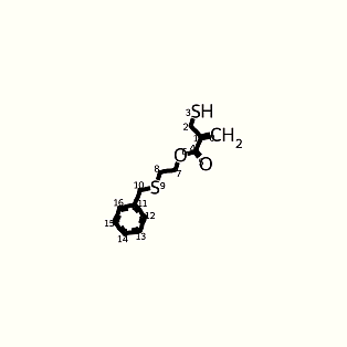 C=C(CS)C(=O)OCCSCc1ccccc1